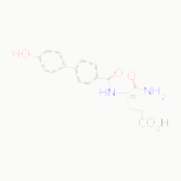 NC(=O)[C@H](CCC(=O)O)NC(=O)c1ccc(-c2ccc(O)cc2)cc1